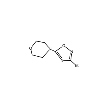 CCc1noc(N2CCOCC2)n1